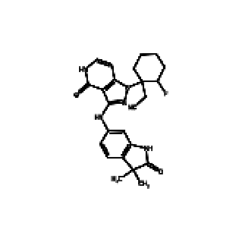 CC1(C)C(=O)Nc2cc(Nc3nn(C4(CC#N)CCCCC4F)c4cc[nH]c(=O)c34)ccc21